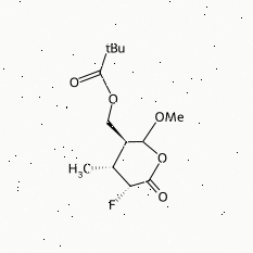 COC1OC(=O)[C@H](F)[C@H](C)[C@H]1COC(=O)C(C)(C)C